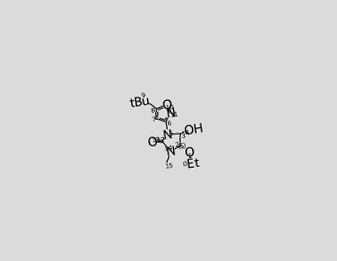 CCO[C@H]1C(O)N(c2cc(C(C)(C)C)on2)C(=O)N1C